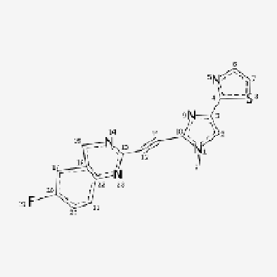 Cn1cc(-c2nccs2)nc1C#Cc1ncc2cc(F)ccc2n1